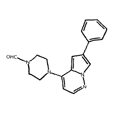 O=CN1CCN(c2ccnn3cc(-c4ccccc4)cc23)CC1